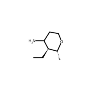 CC[C@H]1C(N)CCO[C@@H]1C